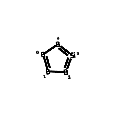 B1=BB=[Si]=B1